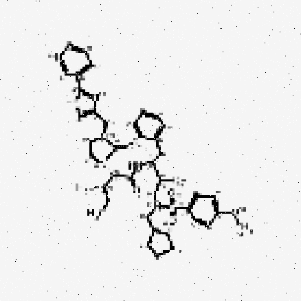 CC[C@H](C)[C@@H](C(=O)N[C@@H](Cc1ccccc1)[C@@H](O)CN(CC1CCCC1)S(=O)(=O)c1ccc(OC)cc1)N1CCN(Cc2csc(-c3cccnc3)n2)C1=O